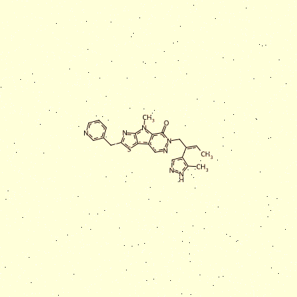 C/C=C(/Cn1ncc2c3sc(Cc4cccnc4)nc3n(C)c2c1=O)c1cn[nH]c1C